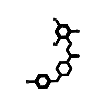 CC(=O)c1cc(Br)cc(Br)c1OCC(=O)N1CCN(Cc2ccc(Cl)cc2)CC1